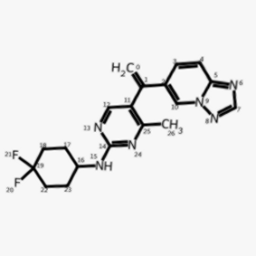 C=C(c1ccc2ncnn2c1)c1cnc(NC2CCC(F)(F)CC2)nc1C